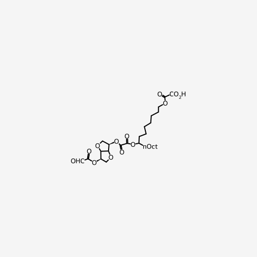 CCCCCCCCC(CCCCCCCOC(=O)C(=O)O)OC(=O)C(=O)O[C@@H]1COC2C1OC[C@H]2OC(=O)C=O